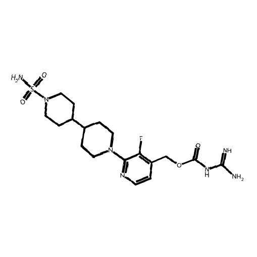 N=C(N)NC(=O)OCc1ccnc(N2CCC(C3CCN(S(N)(=O)=O)CC3)CC2)c1F